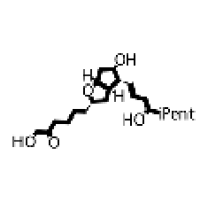 CCCC(C)C(O)CC=C[C@@H]1[C@H]2C[C@H](CCCCC(=O)CO)O[C@@H]2C[C@H]1O